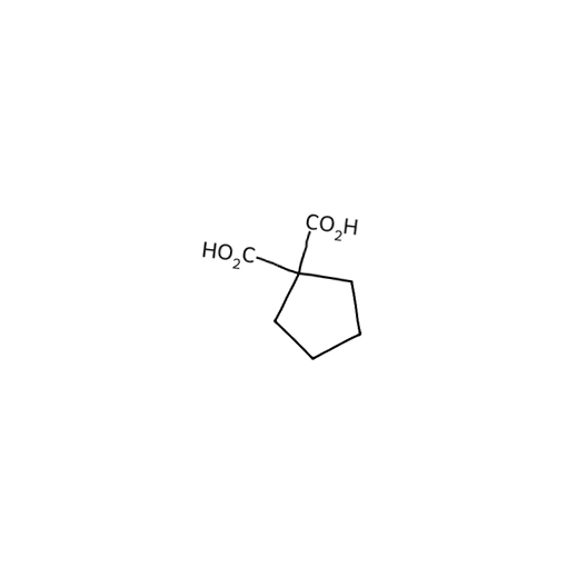 O=C(O)C1(C(=O)O)CCCC1